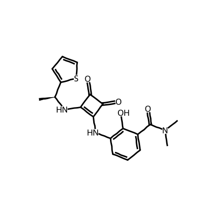 C[C@H](Nc1c(Nc2cccc(C(=O)N(C)C)c2O)c(=O)c1=O)c1cccs1